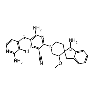 COC1CN(c2nc(N)c(Sc3ccnc(N)c3Cl)nc2C#N)CCC12Cc1ccccc1[C@@H]2N